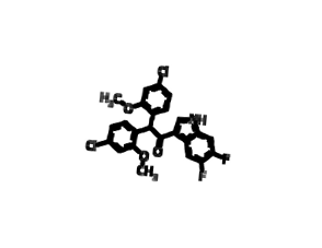 COc1cc(Cl)ccc1C(C(=O)c1c[nH]c2cc(F)c(F)cc12)c1ccc(Cl)cc1OC